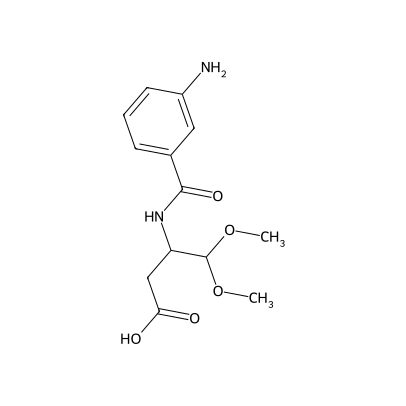 COC(OC)C(CC(=O)O)NC(=O)c1cccc(N)c1